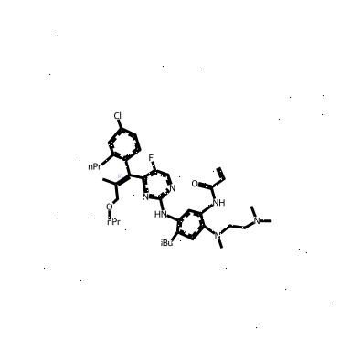 C=CC(=O)Nc1cc(Nc2ncc(F)c(/C(=C(/C)COCCC)c3ccc(Cl)cc3CCC)n2)c(C(C)CC)cc1N(C)CCN(C)C